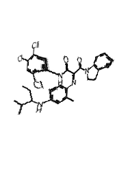 CCC(Nc1ccc(N=C(C(=O)Nc2cc(Cl)c(Cl)cc2Cl)C(=O)N2CCc3ccccc32)c(C)c1)C(C)C